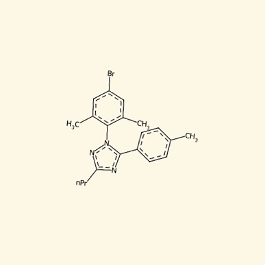 CCCc1nc(-c2ccc(C)cc2)n(-c2c(C)cc(Br)cc2C)n1